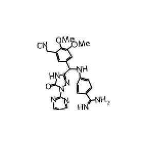 COc1cc(C(Nc2ccc(C(=N)N)cc2)c2nn(-c3ncccn3)c(=O)[nH]2)cc(CC#N)c1OC